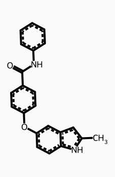 Cc1cc2cc(Oc3ccc(C(=O)Nc4ccccc4)cc3)ccc2[nH]1